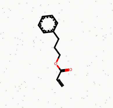 C=CC(=O)OCCCc1cc[c]cc1